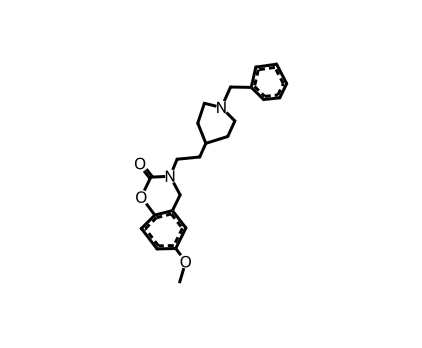 COc1ccc2c(c1)CN(CCC1CCN(Cc3ccccc3)CC1)C(=O)O2